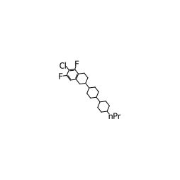 CCCC1CCC(C2CCC(C3CCc4c(cc(F)c(Cl)c4F)C3)CC2)CC1